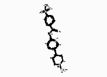 CS(=O)(=O)c1ccc(C(=O)Nc2ccc(C3CCN(C(=O)O)CC3)cn2)cc1